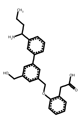 CCCC(N)c1cccc(-c2cc(CO)cc(COc3ccccc3CC(=O)O)c2)c1